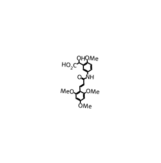 COc1cc(OC)c(C=CC(=O)Nc2ccc(OC)c(C(O)C(=O)O)c2)c(OC)c1